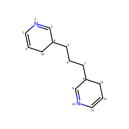 C1=CN=CC(CCCC2C=NC=CC2)C1